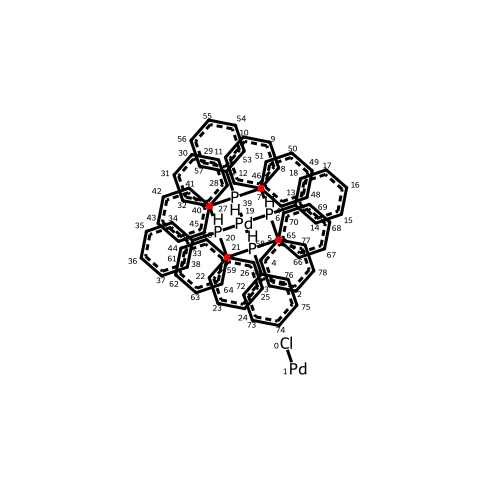 [Cl][Pd].c1ccc([PH](c2ccccc2)(c2ccccc2)[Pd]([PH](c2ccccc2)(c2ccccc2)c2ccccc2)([PH](c2ccccc2)(c2ccccc2)c2ccccc2)[PH](c2ccccc2)(c2ccccc2)c2ccccc2)cc1